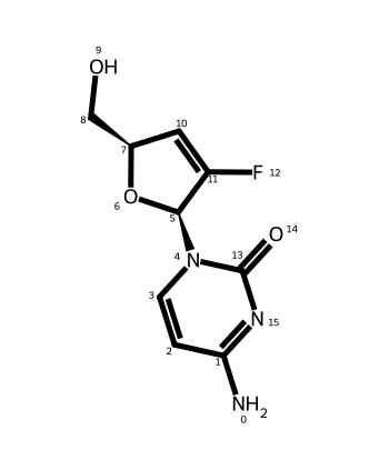 Nc1ccn([C@H]2O[C@@H](CO)C=C2F)c(=O)n1